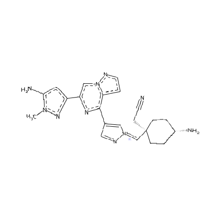 Cn1nc(-c2cn3nccc3c(C3=C/[N+](=C\[C@]4(CC#N)CC[C@@H](N)CC4)N=C3)n2)cc1N